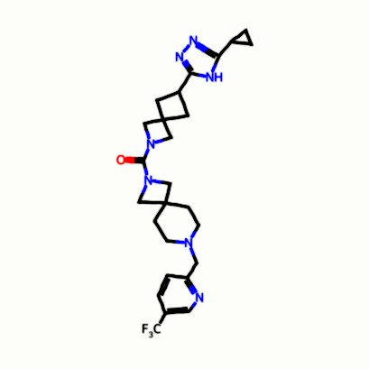 O=C(N1CC2(CCN(Cc3ccc(C(F)(F)F)cn3)CC2)C1)N1CC2(CC(c3nnc(C4CC4)[nH]3)C2)C1